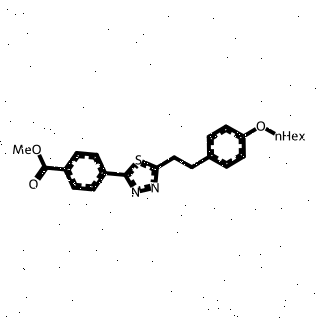 CCCCCCOc1ccc(CCc2nnc(-c3ccc(C(=O)OC)cc3)s2)cc1